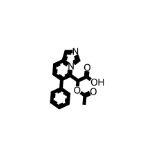 CC(=O)OC(C(=O)O)c1c(-c2ccccc2)ccc2cncn12